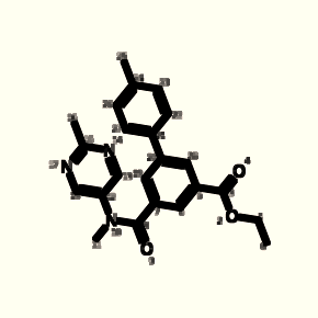 CCOC(=O)c1cc(C(=O)N(C)c2cnc(C)nc2)cc(-c2ccc(C)cc2)c1